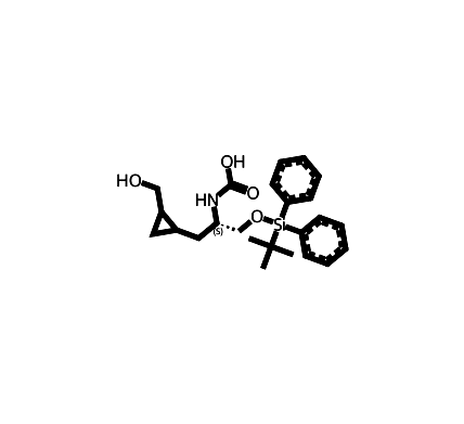 CC(C)(C)[Si](OC[C@H](CC1CC1CO)NC(=O)O)(c1ccccc1)c1ccccc1